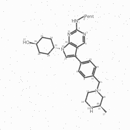 CCCC(C)Nc1ncc2c(-c3ccc(CN4CCN[C@H](C)C4)cc3)cn([C@H]3CC[C@H](O)CC3)c2n1